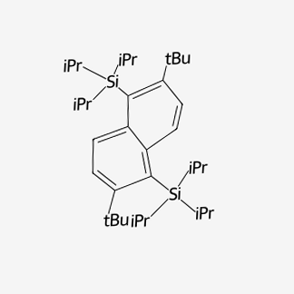 CC(C)[Si](c1c(C(C)(C)C)ccc2c([Si](C(C)C)(C(C)C)C(C)C)c(C(C)(C)C)ccc12)(C(C)C)C(C)C